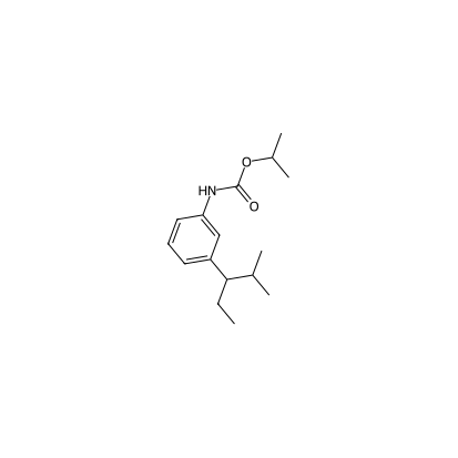 CCC(c1cccc(NC(=O)OC(C)C)c1)C(C)C